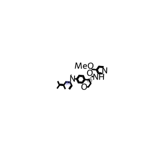 C=C/C(=C\C(C)=C(C)C)N(C)c1ccc2c(c1)OCC[C@H]2CNc1cnccc1C(=O)OC